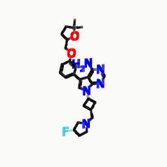 CC1(C)CCC(COc2cccc(-c3cn([C@H]4C[C@H](CN5CC[C@H](F)C5)C4)c4ncnc(N)c34)c2)O1